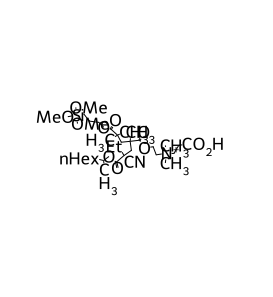 CCCCCCC(C)OC(=O)C(C#N)(CC)CC(C)(CC(C)(C)C(=O)OCCC[Si](OC)(OC)OC)C(=O)OCC[N+](C)(C)CCC(=O)O